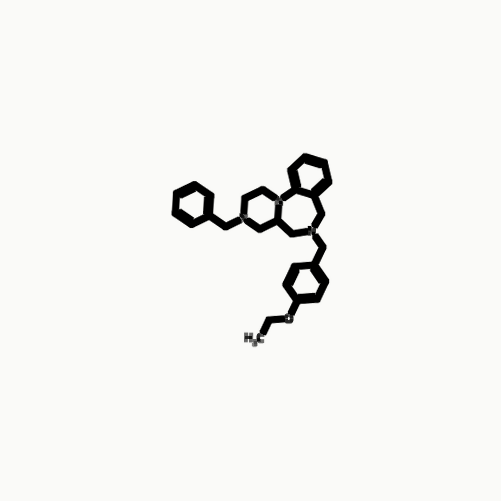 CCOc1ccc(CN2Cc3ccccc3N3CCN(Cc4ccccc4)CC3C2)cc1